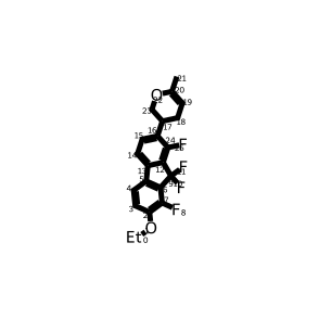 CCOc1ccc2c(c1F)C(F)(F)c1c-2ccc(C2CC=C(C)OC2)c1F